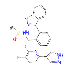 CC(C)(C)[S+]([O-])N[C@@H](Cc1nc(-c2cn[nH]c2)ccc1F)c1ccccc1-c1noc2ccccc12